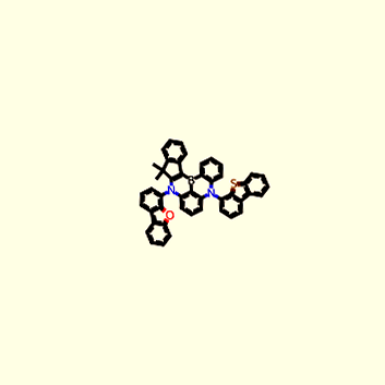 CC1(C)C2=C(B3c4ccccc4N(c4cccc5c4sc4ccccc45)c4cccc(c43)N2c2cccc3c2oc2ccccc23)c2ccccc21